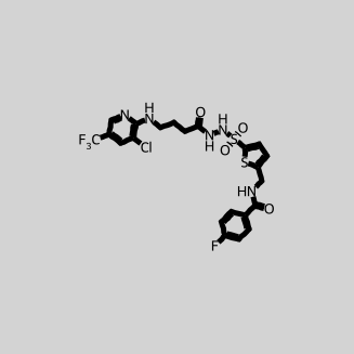 O=C(CCCNc1ncc(C(F)(F)F)cc1Cl)NNS(=O)(=O)c1ccc(CNC(=O)c2ccc(F)cc2)s1